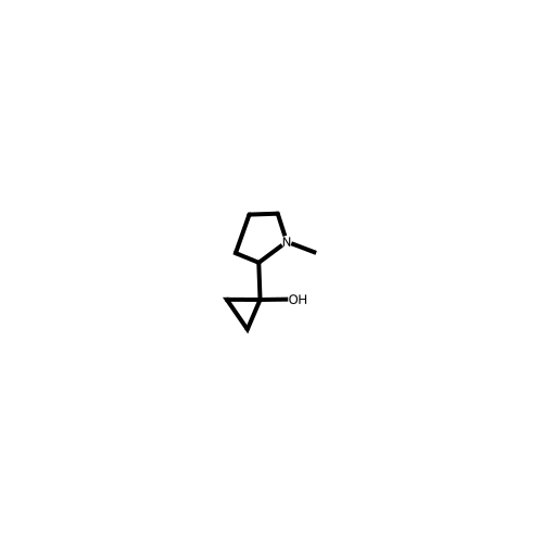 CN1CCCC1C1(O)CC1